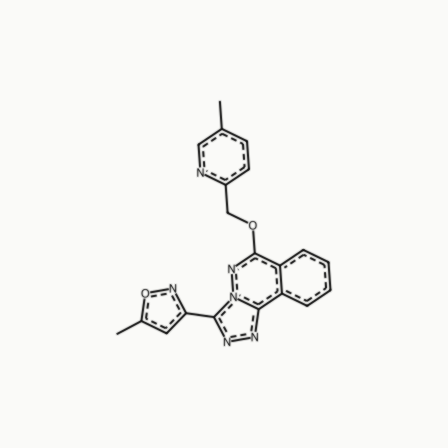 Cc1ccc(COc2nn3c(-c4cc(C)on4)nnc3c3ccccc23)nc1